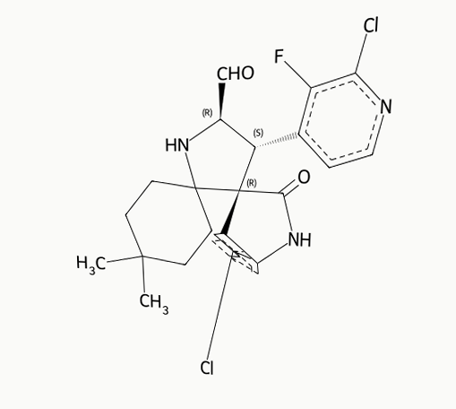 CC1(C)CCC2(CC1)N[C@@H](C=O)[C@H](c1ccnc(Cl)c1F)[C@]21C(=O)Nc2cc(Cl)ccc21